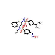 CC(=O)OC(OC(C)=O)c1ccc(S(=O)(=O)N[C@@H](Cc2ccccc2)[C@H](O)CN(CC(C)C)S(=O)(=O)c2ccc(/C=N/O)cc2)cc1